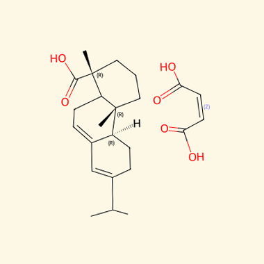 CC(C)C1=CC2=CCC3[C@](C)(C(=O)O)CCC[C@]3(C)[C@H]2CC1.O=C(O)/C=C\C(=O)O